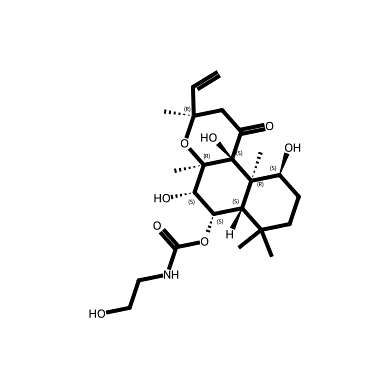 C=C[C@@]1(C)CC(=O)[C@]2(O)[C@@]3(C)[C@@H](O)CCC(C)(C)[C@@H]3[C@H](OC(=O)NCCO)[C@H](O)[C@@]2(C)O1